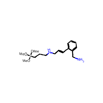 CO[Si](CCCNCC=Cc1ccccc1CN)(OC)OC